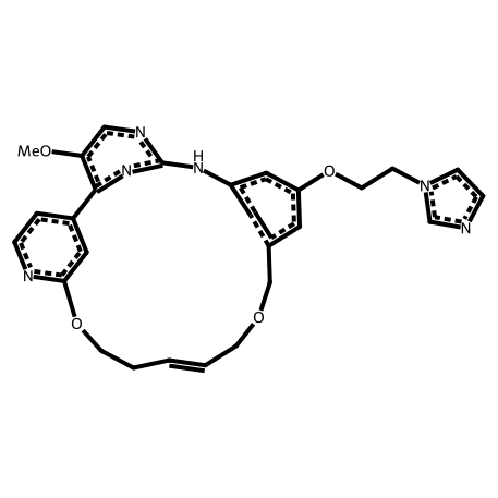 COc1cnc2nc1-c1ccnc(c1)OCC/C=C/COCc1cc(cc(OCCn3ccnc3)c1)N2